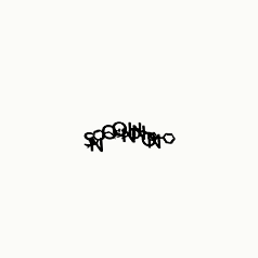 Cc1nc2cc(OC[C@@H](O)CN3CCN(Cc4cc(-c5ccccc5)no4)CC3)ccc2s1